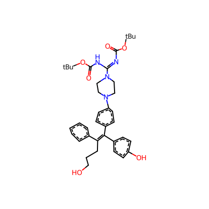 CC(C)(C)OC(=O)/N=C(\NC(=O)OC(C)(C)C)N1CCN(c2ccc(/C(=C(/CCCO)c3ccccc3)c3ccc(O)cc3)cc2)CC1